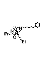 CCOCCCN1C(=O)[C@H](CC(C)C)NC(=O)C12CCN(CCCCCCc1ccccc1)CC2